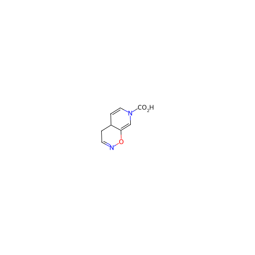 O=C(O)N1C=CC2CC=NOC2=C1